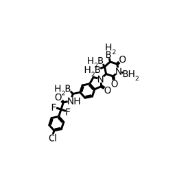 BC(NC(=O)C(F)(F)c1ccc(Cl)cc1)c1ccc2c(c1)CN(C1C(=O)N(B)C(=O)C(B)C1(B)B)C2=O